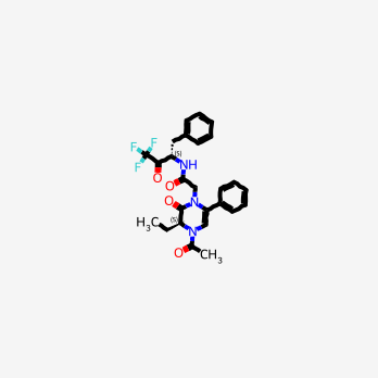 CC[C@H]1C(=O)N(CC(=O)N[C@@H](Cc2ccccc2)C(=O)C(F)(F)F)C(c2ccccc2)=CN1C(C)=O